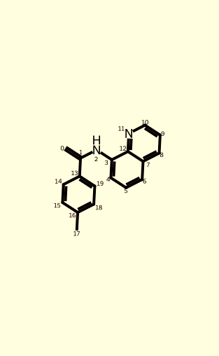 C=C(Nc1cccc2cccnc12)c1ccc(C)cc1